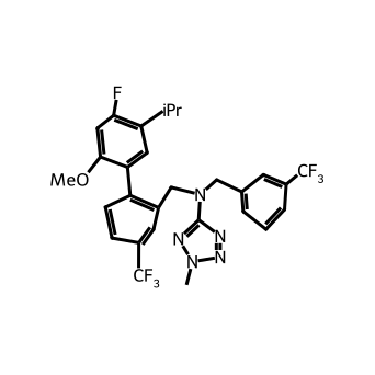 COc1cc(F)c(C(C)C)cc1-c1ccc(C(F)(F)F)cc1CN(Cc1cccc(C(F)(F)F)c1)c1nnn(C)n1